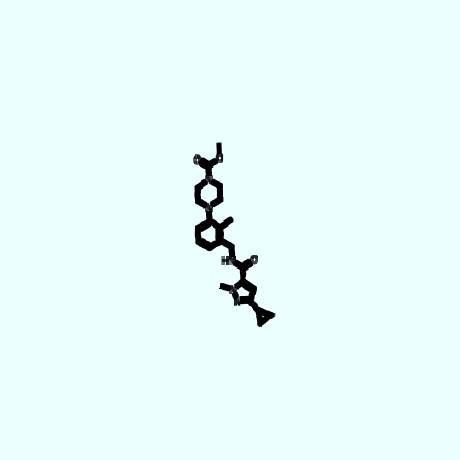 COC(=O)N1CCN(c2cccc(CNC(=O)c3cc(C4CC4)nn3C)c2C)CC1